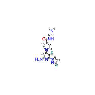 CN(C)CCNC(=O)C1CCN(c2cc(N)nc(-n3ccc(F)n3)c2F)CC1